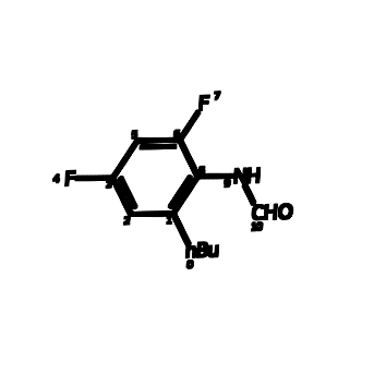 CCCCc1cc(F)cc(F)c1NC=O